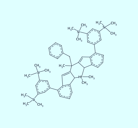 CC1(Cc2ccccc2)C2=Cc3c(-c4cc([Si](C)(C)C)cc([Si](C)(C)C)c4)cccc3[CH]2[Hf]([CH3])([CH3])[CH]2C1=Cc1c(-c3cc([Si](C)(C)C)cc([Si](C)(C)C)c3)cccc12